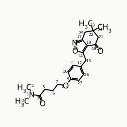 CN(C)C(=O)CCCOc1ccc(Cc2onc3c2C(=O)CC(C)(C)C3)cc1